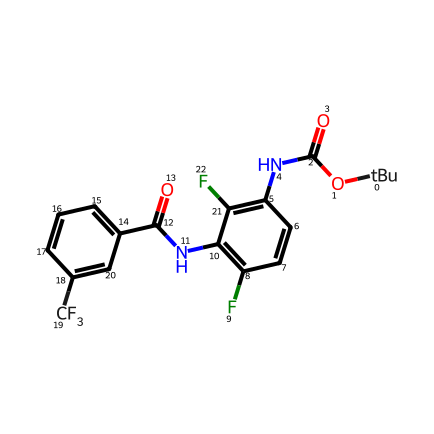 CC(C)(C)OC(=O)Nc1ccc(F)c(NC(=O)c2cccc(C(F)(F)F)c2)c1F